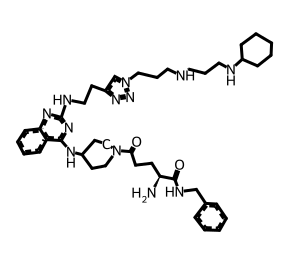 N[C@@H](CCC(=O)N1CCC(Nc2nc(NCCc3cn(CCCNCCCNC4CCCCC4)nn3)nc3ccccc23)CC1)C(=O)NCc1ccccc1